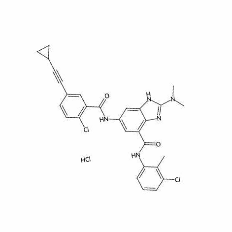 Cc1c(Cl)cccc1NC(=O)c1cc(NC(=O)c2cc(C#CC3CC3)ccc2Cl)cc2[nH]c(N(C)C)nc12.Cl